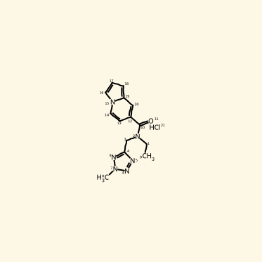 CCN(Cc1nnn(C)n1)C(=O)c1ccn2cccc2c1.Cl